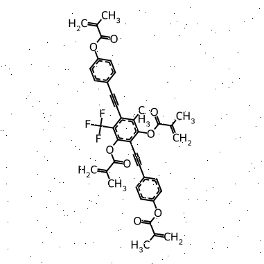 C=C(C)C(=O)Oc1ccc(C#Cc2c(OC(=O)C(=C)C)c(C)c(C#Cc3ccc(OC(=O)C(=C)C)cc3)c(C(F)(F)F)c2OC(=O)C(=C)C)cc1